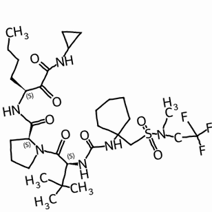 CCCC[C@H](NC(=O)[C@@H]1CCCN1C(=O)[C@@H](NC(=O)NC1(CS(=O)(=O)N(C)CC(F)(F)F)CCCCC1)C(C)(C)C)C(=O)C(=O)NC1CC1